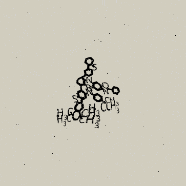 CC(C)(C)c1ccc(N2B3c4cc5nc(-c6ccccc6)oc5cc4-n4c5cc6sc7ccccc7c6cc5c5ccc(c3c54)-c3cc4sc5cc6c(cc5c4cc32)C(C)(C)CCC6(C)C)cc1